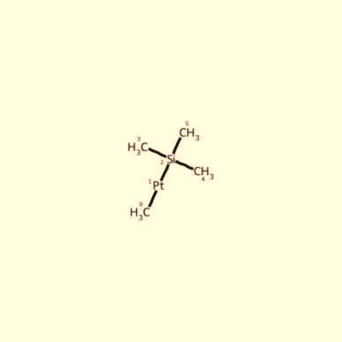 [CH3][Pt][Si](C)(C)C